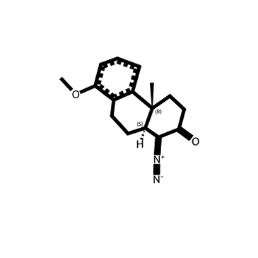 COc1cccc2c1CC[C@@H]1C(=[N+]=[N-])C(=O)CC[C@@]21C